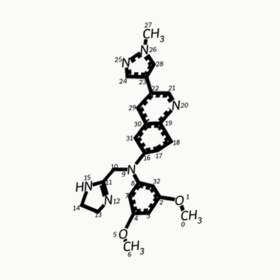 COc1cc(OC)cc(N(CC2=NCCN2)c2ccc3ncc(-c4cnn(C)c4)cc3c2)c1